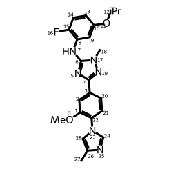 COc1cc(-c2nc(Nc3cc(OC(C)C)ccc3F)n(C)n2)ccc1-n1cnc(C)c1